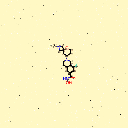 CN1CC2(C[C@@H](N3CCc4cc(C(=O)NO)cc(F)c4C3)CCO2)C1